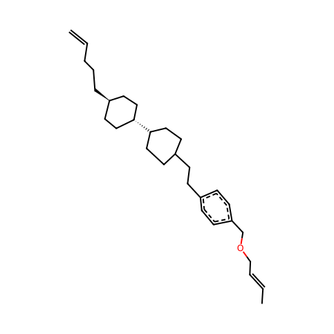 C=CCCC[C@H]1CC[C@H](C2CCC(CCc3ccc(COC/C=C/C)cc3)CC2)CC1